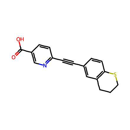 O=C(O)c1ccc(C#Cc2ccc3c(c2)CCCS3)nc1